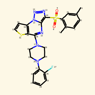 Cc1ccc(C)c(S(=O)(=O)c2nnn3c2nc(N2CCN(c4ccccc4F)CC2)c2sccc23)c1